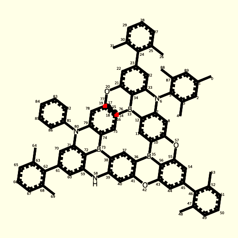 Cc1cc(C)c(N2c3cc4c(cc3B3c5ccccc5Oc5cc(-c6c(C)cccc6C)cc2c53)B2c3cc5c(cc3Oc3cc(-c6c(C)cccc6C)cc(c32)O4)Nc2cc(-c3c(C)cccc3C)cc3c2B5c2ccccc2N3c2ccccc2)c(C)c1